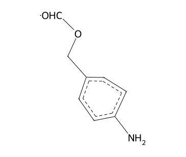 Nc1ccc(CO[C]=O)cc1